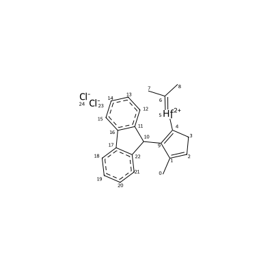 CC1=CC[C]([Hf+2]=[C](C)C)=C1C1c2ccccc2-c2ccccc21.[Cl-].[Cl-]